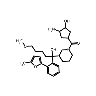 COCCCCC(O)(c1ccccc1-c1ccc(C)o1)C1CCCN(C(=O)C2CC(N)C(O)C2)C1